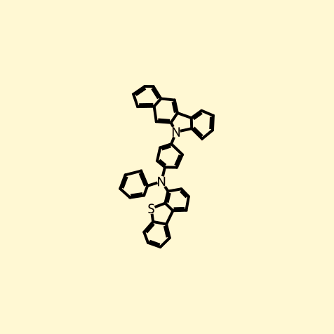 c1ccc(N(c2ccc(-n3c4ccccc4c4cc5ccccc5cc43)cc2)c2cccc3c2sc2ccccc23)cc1